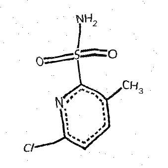 Cc1ccc(Cl)nc1S(N)(=O)=O